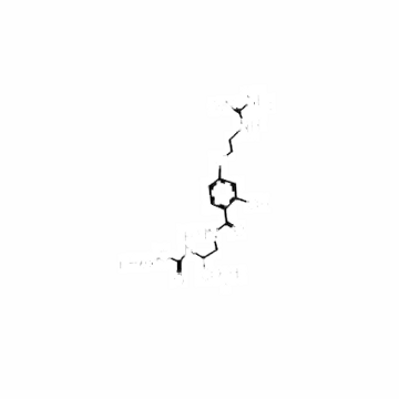 CCCCCCOC(=O)N[C@@H](CNC(=O)c1ccc(OCCNC(=N)N)cc1O)C(=O)O